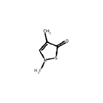 Cc1cn(C)sc1=O